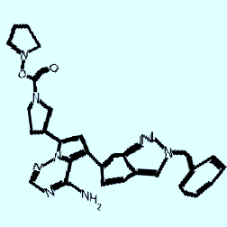 Nc1ncnn2c(C3CCN(C(=O)ON4CCCC4)C3)cc(-c3ccc4cn(Cc5ccccc5)nc4c3)c12